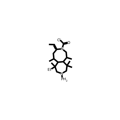 C/C=C1\CC(C)C2C(C(C)CN1C(=O)Cl)C(C)(C)CN(P)CC2(C)CC